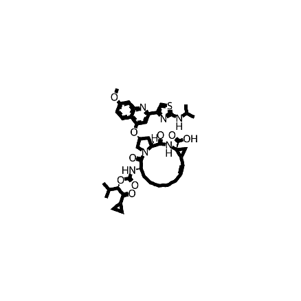 COc1ccc2c(O[C@@H]3C[C@H]4C(=O)N[C@]5(C(=O)O)CC5/C=C\CCCCC[C@H](NC(=O)O[C@H](C(=O)C5CC5)C(C)C)C(=O)N4C3)cc(-c3csc(NC(C)C)n3)nc2c1